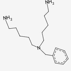 NCCCCCN(CCCCCN)Cc1ccccc1